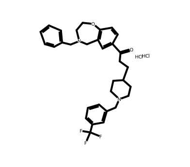 Cl.Cl.O=C(CCC1CCN(Cc2cccc(C(F)(F)F)c2)CC1)c1ccc2c(c1)CN(Cc1ccccc1)CCO2